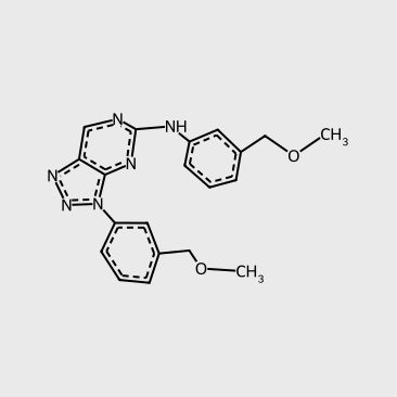 COCc1cccc(Nc2ncc3nnn(-c4cccc(COC)c4)c3n2)c1